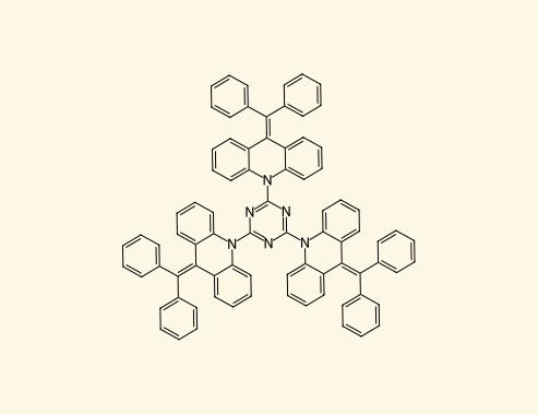 c1ccc(C(=C2c3ccccc3N(c3nc(N4c5ccccc5C(=C(c5ccccc5)c5ccccc5)c5ccccc54)nc(N4c5ccccc5C(=C(c5ccccc5)c5ccccc5)c5ccccc54)n3)c3ccccc32)c2ccccc2)cc1